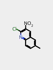 Cc1ccc2nc(Cl)c([N+](=O)[O-])cc2c1